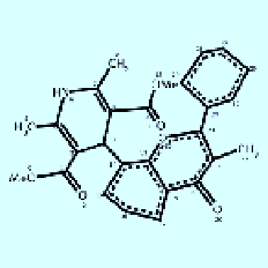 COC(=O)C1=C(C)NC(C)=C(C(=O)OC)C1c1cccc2c(=O)c(C)c(-c3ccccc3)oc12